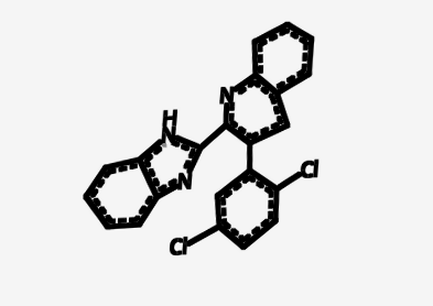 Clc1ccc(Cl)c(-c2cc3ccccc3nc2-c2nc3ccccc3[nH]2)c1